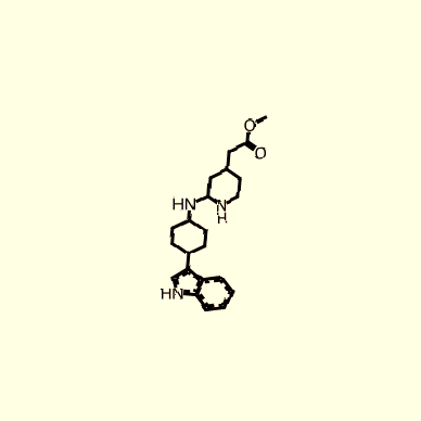 COC(=O)CC1CCNC(NC2CCC(c3c[nH]c4ccccc34)CC2)C1